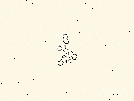 c1ccc2c(c1)Sc1cc3c(cc1C21c2ccccc2-n2c4ccccc4c4cccc1c42)c1ccccc1n3-c1ccc2ccccc2c1